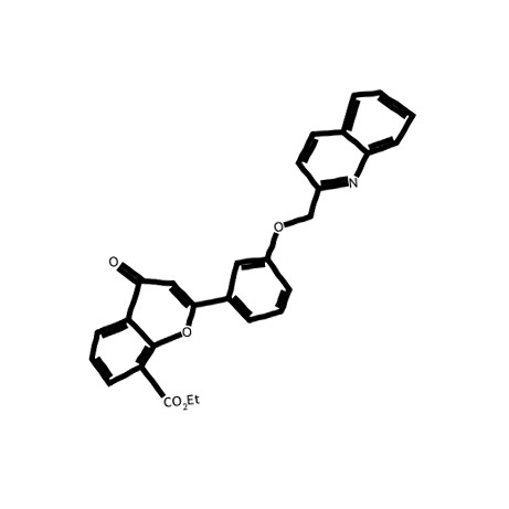 CCOC(=O)c1cccc2c(=O)cc(-c3cccc(OCc4ccc5ccccc5n4)c3)oc12